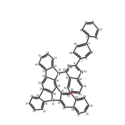 c1ccc(-c2ccc(-c3nc(-n4c5ccccc5c5cc6c7ccccc7n7c8cc9ccccc9cc8c(c54)c67)c4ccccc4n3)cc2)cc1